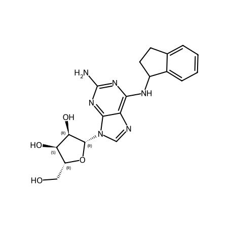 Nc1nc(NC2CCc3ccccc32)c2ncn([C@@H]3O[C@H](CO)[C@@H](O)[C@H]3O)c2n1